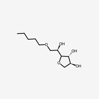 CCCCCOC[C@@H](O)C1OC[C@H](O)[C@H]1O